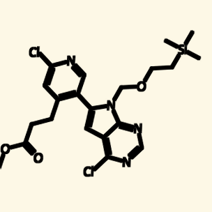 COC(=O)CCc1cc(Cl)ncc1-c1cc2c(Cl)ncnc2n1COCC[Si](C)(C)C